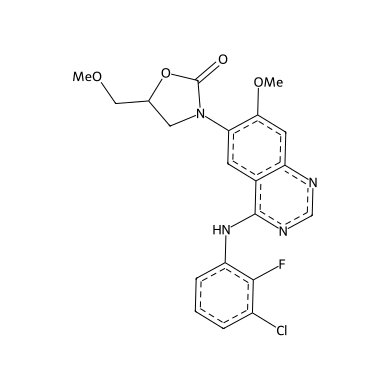 COCC1CN(c2cc3c(Nc4cccc(Cl)c4F)ncnc3cc2OC)C(=O)O1